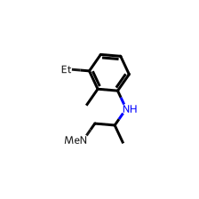 CCc1cccc(NC(C)CNC)c1C